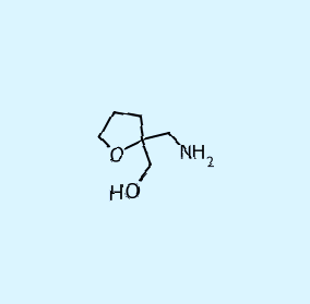 NCC1(CO)CCCO1